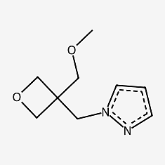 COCC1(Cn2cccn2)COC1